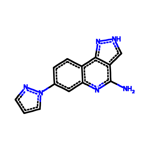 Nc1nc2cc(-n3cccn3)ccc2c2n[nH]cc12